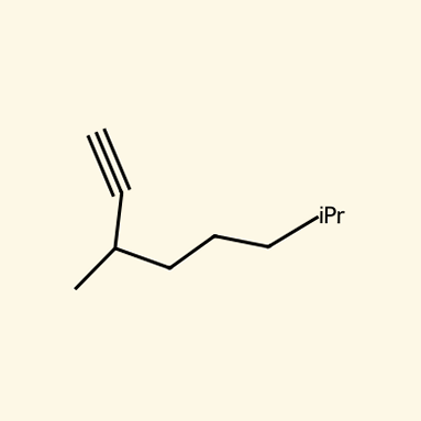 C#CC(C)CCCC(C)C